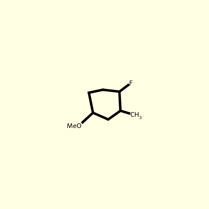 COC1CCC(F)C(C)C1